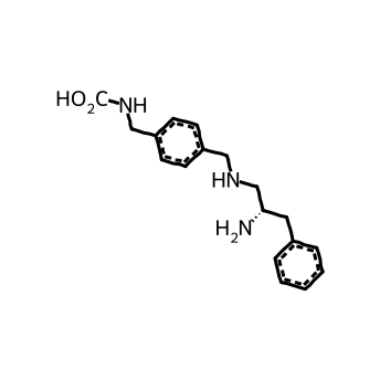 N[C@H](CNCc1ccc(CNC(=O)O)cc1)Cc1ccccc1